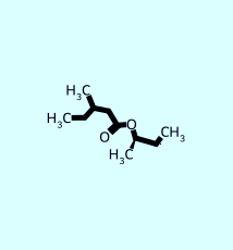 C[CH][C@@H](C)OC(=O)CC(C)CC